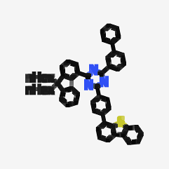 CCCCCCC1(CCCCCC)c2ccccc2-c2c(-c3nc(-c4ccc(-c5cccc6c5sc5ccccc56)cc4)nc(-c4cccc(-c5ccccc5)c4)n3)cccc21